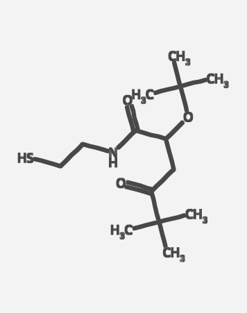 CC(C)(C)OC(CC(=O)C(C)(C)C)C(=O)NCCS